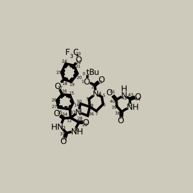 CC(C)(C)OC(=O)N1CCCC2(C1)CN(C1(c3ccc(Oc4ccc(OC(F)(F)F)cc4)cc3)C(=O)NC(=O)NC1=O)C2.O=C1CC(=O)NC(=O)N1